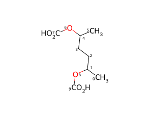 CC(CCC(C)OC(=O)O)OC(=O)O